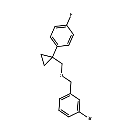 Fc1ccc(C2(COCc3cccc(Br)c3)CC2)cc1